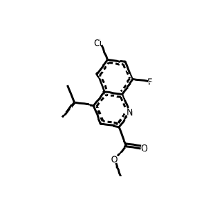 COC(=O)c1cc(C(C)C)c2cc(Cl)cc(F)c2n1